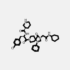 O=C(CN1CN(c2ccccc2)C2(CCN(C(=O)[C@@H](Cc3ccc(Cl)cc3)NC(=O)[C@@H]3CCCNC3)CC2)C1=O)NC1CCCCC1